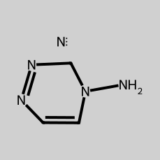 NN1C=CN=NC1.[N]